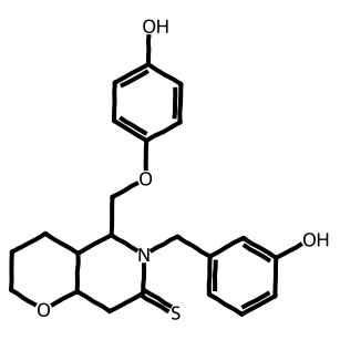 Oc1ccc(OCC2C3CCCOC3CC(=S)N2Cc2cccc(O)c2)cc1